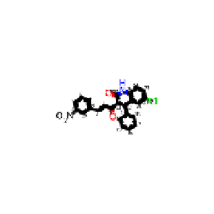 O=C(C=Cc1cccc([N+](=O)[O-])c1)c1c(-c2ccccc2)c2cc(Cl)ccc2[nH]c1=O